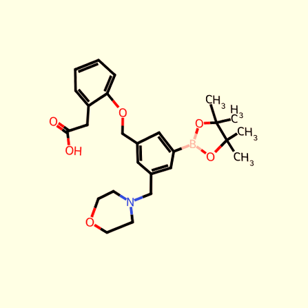 CC1(C)OB(c2cc(COc3ccccc3CC(=O)O)cc(CN3CCOCC3)c2)OC1(C)C